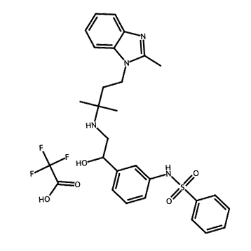 Cc1nc2ccccc2n1CCC(C)(C)NCC(O)c1cccc(NS(=O)(=O)c2ccccc2)c1.O=C(O)C(F)(F)F